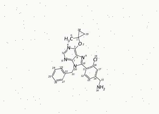 CC1(Oc2ncnc3c2nc(-c2ccc(CN)cc2Cl)n3Cc2ccccc2)CC1